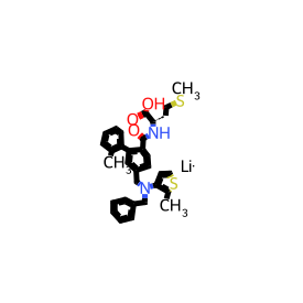 CSCC[C@H](NC(=O)c1ccc(CN(Cc2ccccc2)c2ccsc2C)cc1-c1ccccc1C)C(=O)O.[Li]